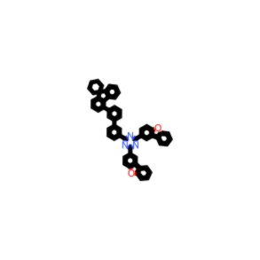 c1cc(-c2cccc(-c3cccc4c3-c3ccccc3C43CCCCC3)c2)cc(-c2nc(-c3ccc4oc5ccccc5c4c3)nc(-c3ccc4oc5ccccc5c4c3)n2)c1